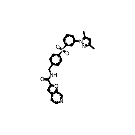 Cc1cc(C)n(-c2cccc(S(=O)(=O)c3ccc(CNC(=O)c4cc5ccncc5o4)cc3)c2)n1